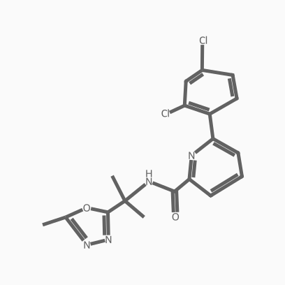 Cc1nnc(C(C)(C)NC(=O)c2cccc(-c3ccc(Cl)cc3Cl)n2)o1